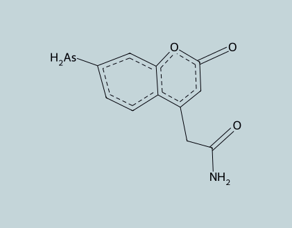 NC(=O)Cc1cc(=O)oc2cc([AsH2])ccc12